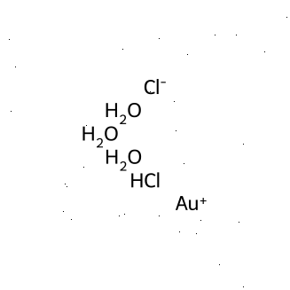 Cl.O.O.O.[Au+].[Cl-]